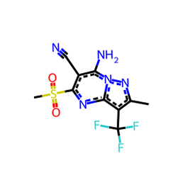 Cc1nn2c(N)c(C#N)c(S(C)(=O)=O)nc2c1C(F)(F)F